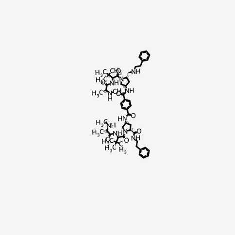 CN[C@@H](C)C(=O)N[C@H](C(=O)N1C[C@@H](NC(=O)c2ccc(C(=O)N[C@H]3C[C@@H](C(=O)NCCc4ccccc4)N(C(=O)[C@@H](NC(=O)[C@H](C)NC)C(C)(C)C)C3)cc2)C[C@H]1CNCCc1ccccc1)C(C)(C)C